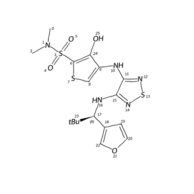 CN(C)S(=O)(=O)c1scc(Nc2nsnc2N[C@@H](c2ccoc2)C(C)(C)C)c1O